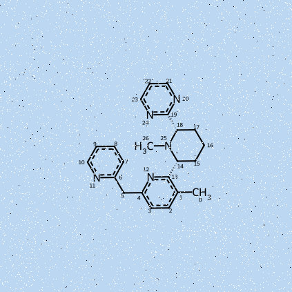 Cc1ccc(Cc2ccccn2)nc1[C@H]1CCC[C@@H](c2ncccn2)N1C